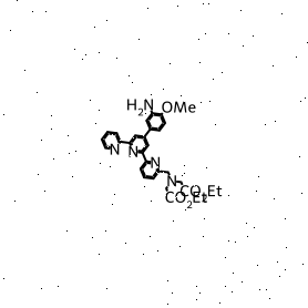 CCOC(=O)CN(CC(=O)OCC)Cc1cccc(-c2cc(-c3ccc(OC)c(N)c3)cc(-c3ccccn3)n2)n1